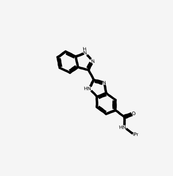 CC(C)NC(=O)c1ccc2[nH]c(-c3n[nH]c4ccccc34)nc2c1